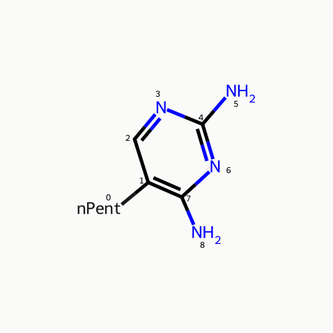 CCCCCc1cnc(N)nc1N